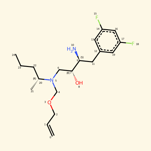 C=CCOCN(C[C@@H](O)[C@@H](N)Cc1cc(F)cc(F)c1)[C@H](C)CCC